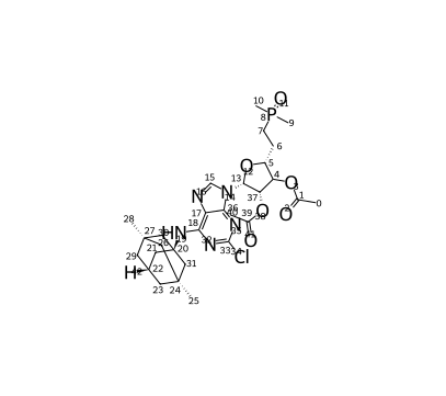 CC(=O)OC1[C@@H](CCP(C)(C)=O)O[C@@H](n2cnc3c(N[C@@]45C[C@@H]6C[C@@](C)(C[C@@](C)(C6)C4)C5)nc(Cl)nc32)[C@H]1OC(C)=O